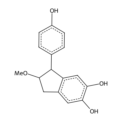 COC1Cc2cc(O)c(O)cc2C1c1ccc(O)cc1